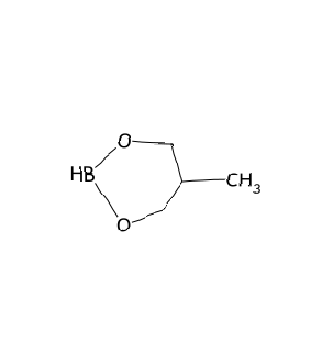 CC1COBOC1